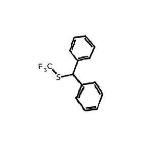 FC(F)(F)SC(c1ccccc1)c1ccccc1